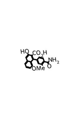 COc1cc(-c2c(C(=O)O)c(O)cc3ccccc23)ccc1C(N)=O